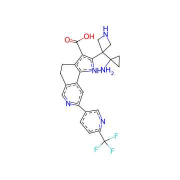 NC1(C2(c3[nH]c4c(c3C(=O)O)CCc3cnc(-c5ccc(C(F)(F)F)nc5)cc3-4)CNC2)CC1